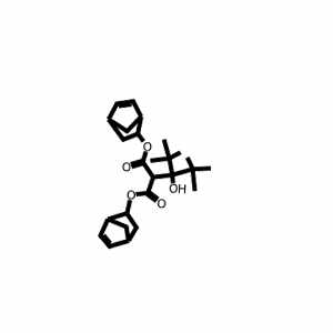 CC(C)(C)C(O)(C(C(=O)OC1CC2C=CC1C2)C(=O)OC1CC2C=CC1C2)C(C)(C)C